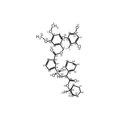 COc1ccc([C@H](Cc2c(Cl)c[n+]([O-])cc2Cl)OC(=O)c2cccc(S(=O)(=O)NC(C(=O)O[C@H]3CN4CCC3CC4)c3ccccc3)c2)cc1OC